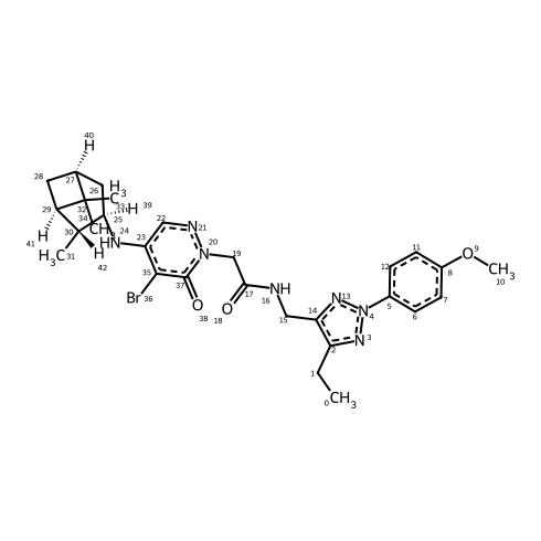 CCc1nn(-c2ccc(OC)cc2)nc1CNC(=O)Cn1ncc(N[C@@H]2C[C@@H]3C[C@H]([C@H]2C)C3(C)C)c(Br)c1=O